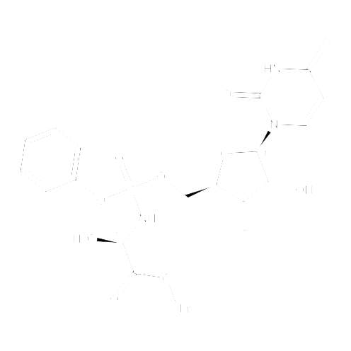 CC[C@H]1[C@@H](O)[C@H](n2ccc(=O)[nH]c2=O)O[C@@H]1COP(=O)(N[C@H](C)C(=O)OC(C)C)Oc1ccccc1